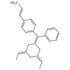 C/C=C1/CC(=C(c2ccccc2)c2ccc(/C=C/C(=O)O)cc2)C/C(=C/C)C1